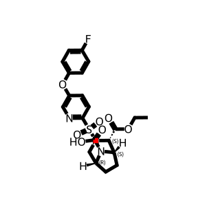 CCOC(=O)[C@@H]1[C@@H]2CC[C@H](CN1S(=O)(=O)c1ccc(Oc3ccc(F)cc3)cn1)N2C(=O)O